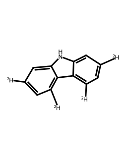 [2H]c1cc([2H])c2c(c1)[nH]c1cc([2H])cc([2H])c12